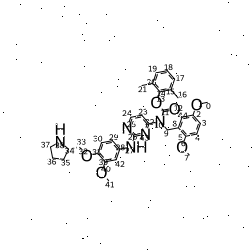 COc1ccc(OC)c(CN(C(=O)Oc2c(C)cccc2C)c2ccnc(Nc3ccc(OC[C@@H]4CCCN4)c(OC)c3)n2)c1